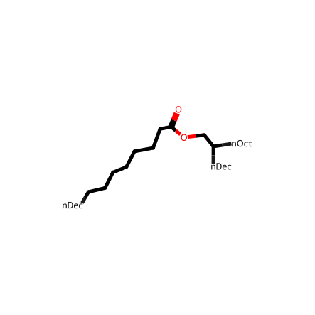 CCCCCCCCCCCCCCCCCC(=O)OCC(CCCCCCCC)CCCCCCCCCC